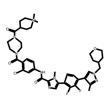 Cc1nn(CC2CCOCC2)cc1-c1ccc(-c2cnc(C(=O)Nc3ccc(C(=O)N4CCN(C(=O)C5CC[N+](C)(C)CC5)CC4)c(Cl)c3)n2C)c(F)c1F